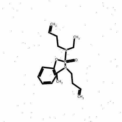 C=CCCN(CC)P(=O)(Oc1ccccc1)N(CC)CCC=C